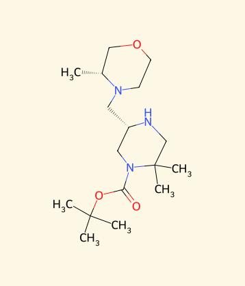 C[C@@H]1COCCN1C[C@H]1CN(C(=O)OC(C)(C)C)C(C)(C)CN1